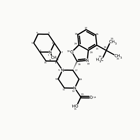 CN1C2CCCC1CC(N1CCN(C(=O)O)C[C@H]1c1nc3c(C(C)(C)C)cccc3o1)C2